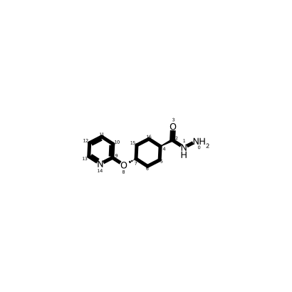 NNC(=O)[C@H]1CC[C@H](Oc2ccccn2)CC1